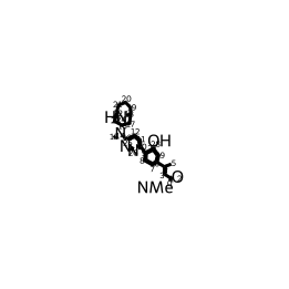 CNC(=O)/C=C(\C)c1ccc(-c2ccc(N(C)C3CC4CCCC(C3)N4)nn2)c(O)c1